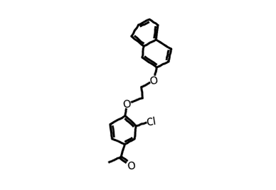 CC(=O)c1ccc(OCCOc2ccc3ccccc3c2)c(Cl)c1